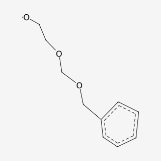 [O]CCOCOCc1ccccc1